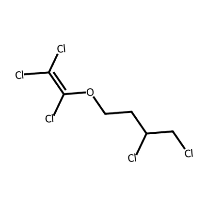 ClCC(Cl)CCOC(Cl)=C(Cl)Cl